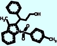 Cc1ccc(S(=O)(=O)n2c(C(CCO)c3ccccc3)c(C)c3ccccc32)cc1